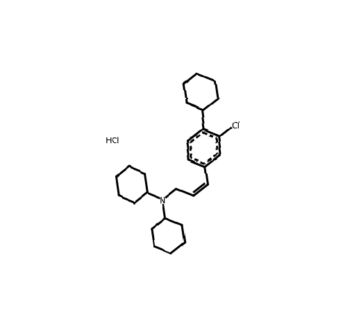 Cl.Clc1cc(/C=C\CN(C2CCCCC2)C2CCCCC2)ccc1C1CCCCC1